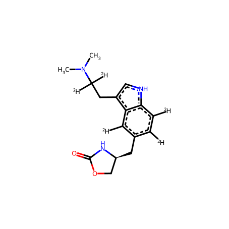 [2H]c1c(C[C@H]2COC(=O)N2)c([2H])c2c(CC([2H])([2H])N(C)C)c[nH]c2c1[2H]